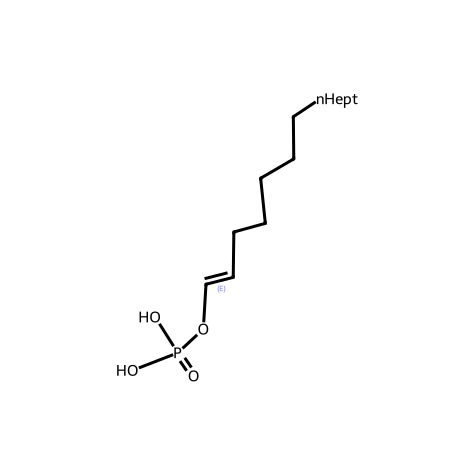 CCCCCCCCCCCC/C=C/OP(=O)(O)O